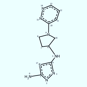 Nc1nnc(NC2CCN(c3cccnn3)C2)s1